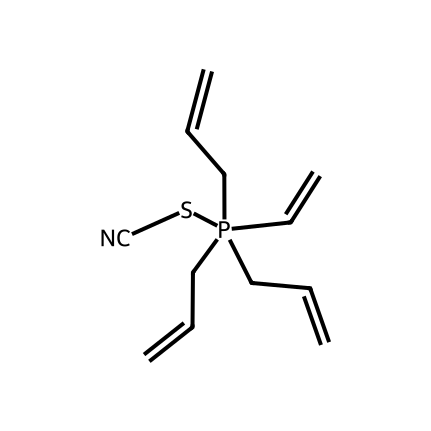 C=CCP(C=C)(CC=C)(CC=C)SC#N